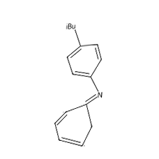 CCC(C)c1ccc(N=C2[C]=CC=[C]C2)cc1